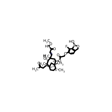 CONC(=O)/C=C/[C@]1(C)C[C@@H](OC(=O)COc2ccc3c(c2F)B(O)OC3)[C@@]2(C)C[C@](CCC(C)=O)(CC[C@H]2C)[C@@H](C)[C@@H]1O